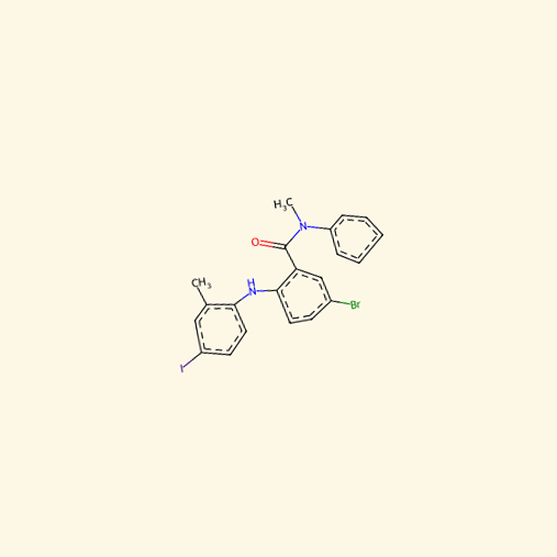 Cc1cc(I)ccc1Nc1ccc(Br)cc1C(=O)N(C)c1ccccc1